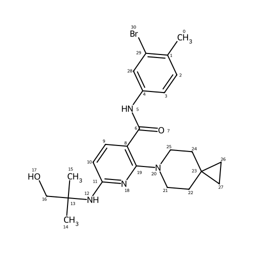 Cc1ccc(NC(=O)c2ccc(NC(C)(C)CO)nc2N2CCC3(CC2)CC3)cc1Br